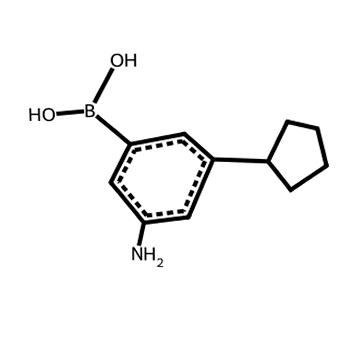 Nc1cc(B(O)O)cc(C2CCCC2)c1